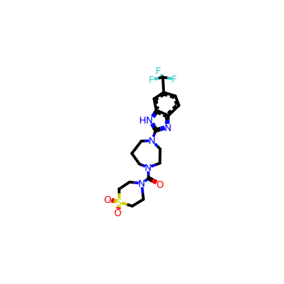 O=C(N1CCCN(c2nc3ccc(C(F)(F)F)cc3[nH]2)CC1)N1CCS(=O)(=O)CC1